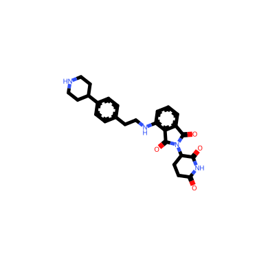 O=C1CCC(N2C(=O)c3cccc(NCCc4ccc(C5CCNCC5)cc4)c3C2=O)C(=O)N1